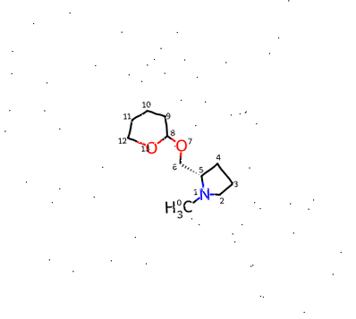 CN1CCC[C@H]1COC1CCCCO1